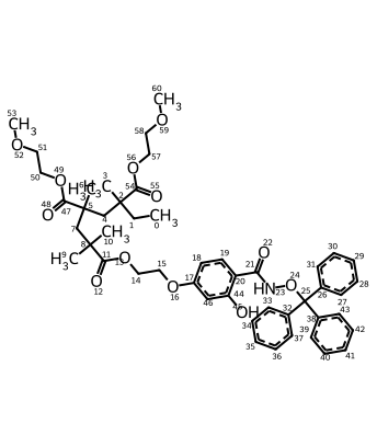 CCC(C)(CC(C)(CC(C)(C)C(=O)OCCOc1ccc(C(=O)NOC(c2ccccc2)(c2ccccc2)c2ccccc2)c(O)c1)C(=O)OCCOC)C(=O)OCCOC